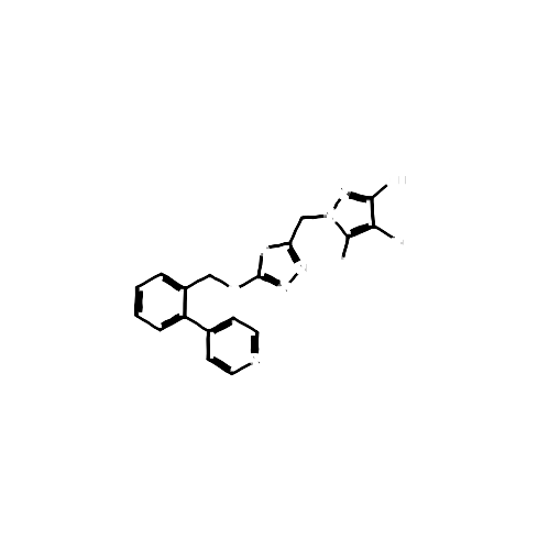 Cc1nn(Cc2nnc(SCc3ccccc3-c3ccncc3)o2)c(C)c1Br